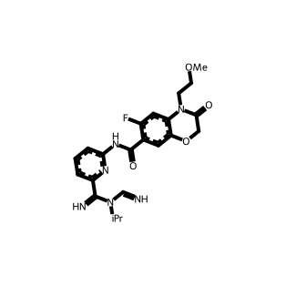 COCCN1C(=O)COc2cc(C(=O)Nc3cccc(C(=N)N(C=N)C(C)C)n3)c(F)cc21